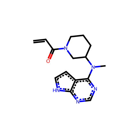 C=CC(=O)N1CCCC(N(C)c2ncnc3[nH]ccc23)C1